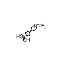 OB(O)c1ccc(C2CCN(CC(F)(F)F)CC2)cc1